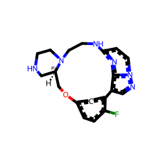 Fc1ccc2cc1-c1cnn3ccc(nc13)NCCN1CCNC[C@@H]1CO2